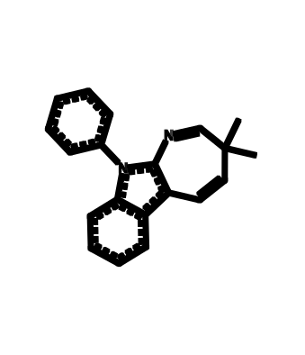 CC1(C)C=Cc2c(n(-c3ccccc3)c3ccccc23)N=C1